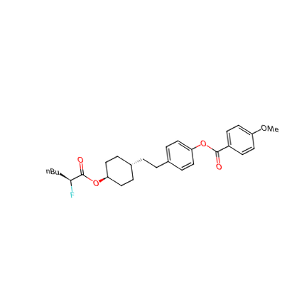 CCCC[C@H](F)C(=O)O[C@H]1CC[C@H](CCc2ccc(OC(=O)c3ccc(OC)cc3)cc2)CC1